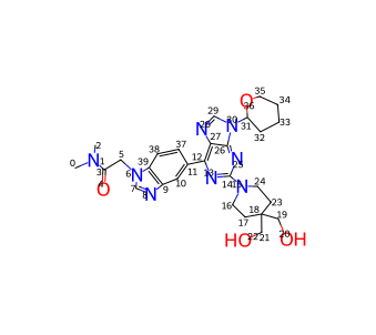 CN(C)C(=O)Cn1cnc2cc(-c3nc(N4CCC(CO)(CO)CC4)nc4c3ncn4C3CCCCO3)ccc21